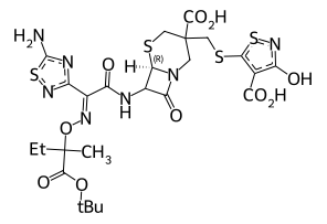 CCC(C)(ON=C(C(=O)NC1C(=O)N2CC(CSc3snc(O)c3C(=O)O)(C(=O)O)CS[C@H]12)c1nsc(N)n1)C(=O)OC(C)(C)C